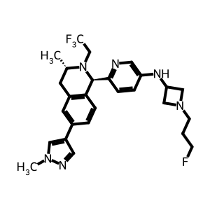 C[C@H]1Cc2cc(-c3cnn(C)c3)ccc2[C@H](c2ccc(NC3CN(CCCF)C3)cn2)N1CC(F)(F)F